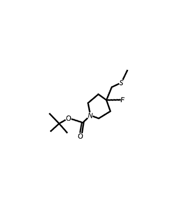 CSCC1(F)CCN(C(=O)OC(C)(C)C)CC1